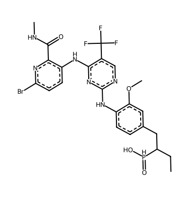 CCC(Cc1ccc(Nc2ncc(C(F)(F)F)c(Nc3ccc(Br)nc3C(=O)NC)n2)c(OC)c1)[PH](=O)O